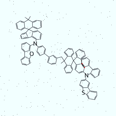 CC1(C)c2ccccc2C2(c3ccccc3-c3c(N(c4ccc(-c5cccc(CC6(C)c7ccccc7C7(c8ccccc8-c8cc(N(c9ccc%10sc%11ccccc%11c%10c9)c9ccccc9-c9ccccc9)ccc87)c7ccccc76)c5)cc4)c4cccc5c4oc4ccccc45)cccc32)c2ccccc21